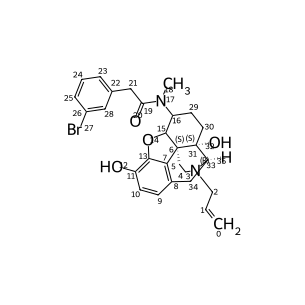 C=CCN1CC[C@]23c4c5ccc(O)c4OC2C(N(C)C(=O)Cc2cccc(Br)c2)CC[C@@]3(O)[C@H]1C5